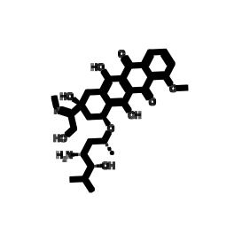 C/N=C(/CO)[C@]1(O)Cc2c(O)c3c(c(O)c2[C@@H](O[C@H](C)C[C@@H](N)[C@H](O)C(C)C)C1)C(=O)c1c(OC)cccc1C3=O